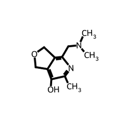 Cc1nc(CN(C)C)c2c(c1O)COC2